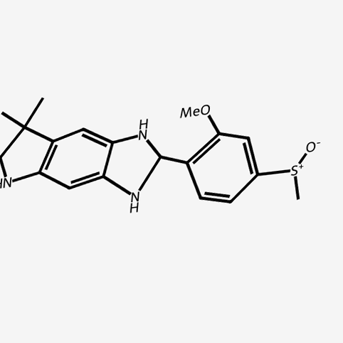 COc1cc([S+](C)[O-])ccc1C1Nc2cc3c(cc2N1)C(C)(C)CN3